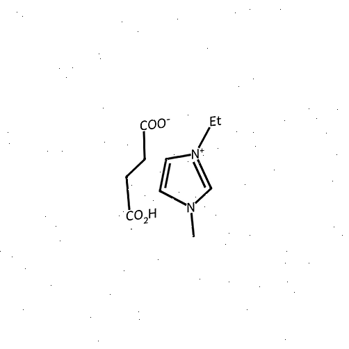 CC[n+]1ccn(C)c1.O=C([O-])CCC(=O)O